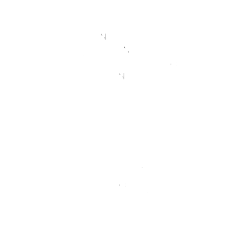 Oc1ccc(C2CO2)cc1-n1nnc2ccccc21